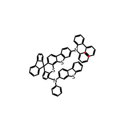 c1ccc(-c2ccccc2N(c2ccccc2)c2ccc3c(c2)sc2c4c(ccc23)C2(c3ccccc3-c3ccccc32)c2cccc(N(c3ccccc3)c3ccc5c(c3)sc3ccccc35)c2S4)cc1